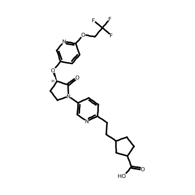 O=C(O)C1CCC(CCc2ccc(N3CC[C@@H](Oc4ccc(OCC(F)(F)F)nc4)C3=O)cn2)C1